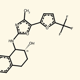 Cc1nc(NC2c3ccccc3CC[C@H]2O)oc1-c1ccc(C(F)(F)F)o1